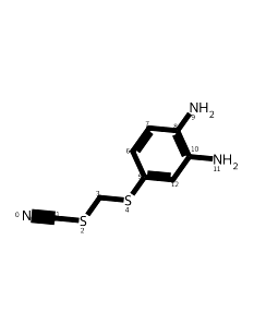 N#CSCSc1ccc(N)c(N)c1